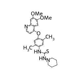 COc1cc2nccc(Oc3cc(C)c(NC(=S)NN4CCCCC4)cc3C)c2cc1OC